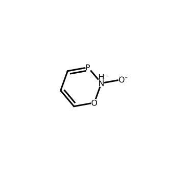 [O-][NH+]1OC=CC=P1